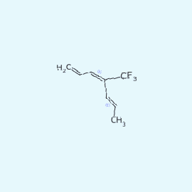 C=C/C=C(\C=C\C)C(F)(F)F